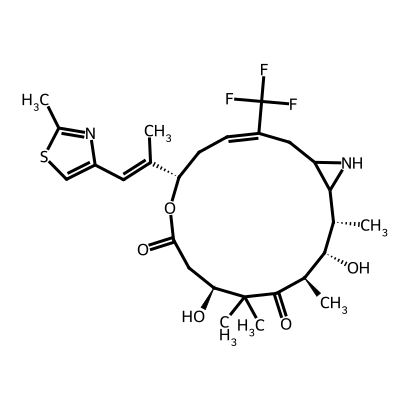 C/C(=C\c1csc(C)n1)[C@@H]1C/C=C(/C(F)(F)F)CC2NC2[C@H](C)[C@H](O)[C@@H](C)C(=O)C(C)(C)[C@@H](O)CC(=O)O1